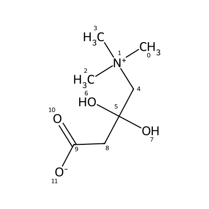 C[N+](C)(C)CC(O)(O)CC(=O)[O-]